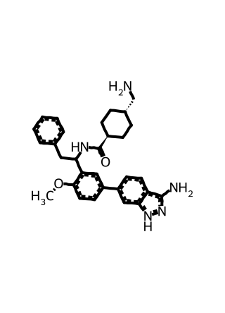 COc1ccc(-c2ccc3c(N)n[nH]c3c2)cc1C(Cc1ccccc1)NC(=O)[C@H]1CC[C@H](CN)CC1